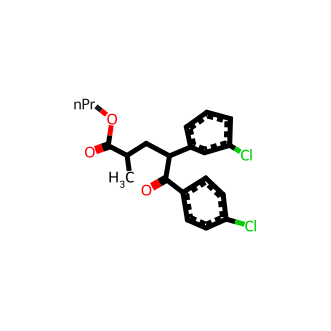 CCCOC(=O)C(C)CC(C(=O)c1ccc(Cl)cc1)c1cccc(Cl)c1